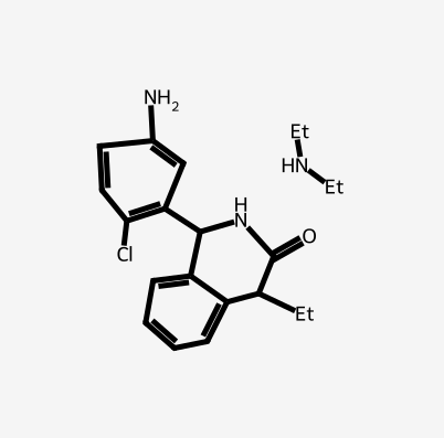 CCC1C(=O)NC(c2cc(N)ccc2Cl)c2ccccc21.CCNCC